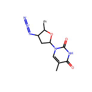 Cc1cn(C2CC(N=[N+]=[N-])C(C(C)C)O2)c(=O)[nH]c1=O